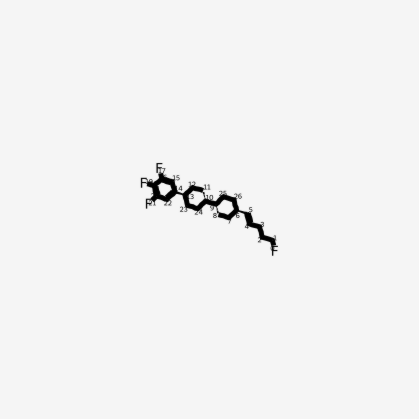 FCCCC=C[C@H]1CC[C@H]([C@H]2CC[C@H](c3cc(F)c(F)c(F)c3)CC2)CC1